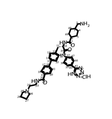 Cl.NCC1CCC(C(=O)N[C@@H](Cc2ccc(-c3ccc(C(=O)NCCN4CCCC4)cc3)cc2)C(=O)Nc2ccc(-c3nnn[nH]3)cc2)CC1